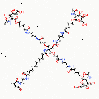 CC(=O)N[C@H]1[C@H](OCCCCC(=O)NCCCNC(=O)CCOCC(COCCC(=O)NCCCNC(=O)CCCCO[C@@H]2O[C@H](CO)[C@H](O)[C@H](O)[C@H]2NC(C)=O)(COC(=O)NCCCNC(=O)CCCCO[C@@H]2O[C@H](CO)[C@H](O)[C@H](O)[C@H]2NC(C)=O)NC(=O)CCCCCCCCCCC(=O)NCCN2C(=O)C=CC2=O)O[C@H](CO)[C@H](O)[C@@H]1O